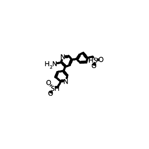 Nc1ncc(-c2ccc(C[SH](=O)=O)cc2)cc1-c1ccc(C[SH](=O)=O)nc1